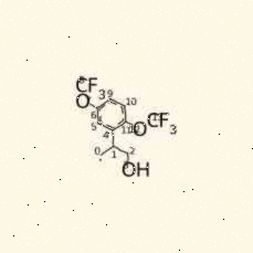 [CH2]C(CO)c1cc(OC(F)(F)F)ccc1OC(F)(F)F